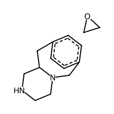 C1CO1.c1cc2ccc1CC1CNCCN1C2